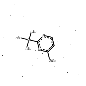 CCC[CH2][Sn]([CH2]CCC)([CH2]CCC)[c]1nccc(OC)n1